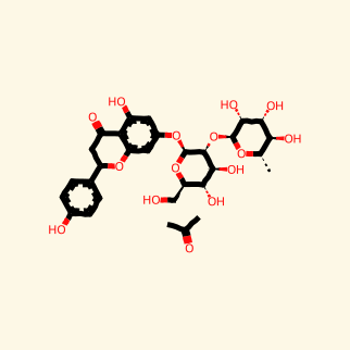 CC(C)=O.C[C@@H]1O[C@@H](O[C@H]2[C@H](Oc3cc(O)c4c(c3)OC(c3ccc(O)cc3)CC4=O)O[C@H](CO)[C@@H](O)[C@@H]2O)[C@H](O)[C@H](O)[C@H]1O